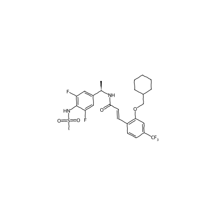 C[C@@H](NC(=O)C=Cc1ccc(C(F)(F)F)cc1OCC1CCCCC1)c1cc(F)c(NS(C)(=O)=O)c(F)c1